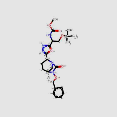 CC(C)(C)OC(=O)NC(CO[Si](C)(C)C(C)(C)C)c1nnc([C@@H]2CC[C@H]3CN2C(=O)N3OCc2ccccc2)o1